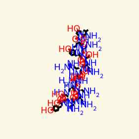 CC[C@H](C)[C@H](NC(=O)[C@@H]1C[C@@H](O)CN1C(=O)[C@@H](N)C(C)C)C(=O)N[C@@H](CCN)C(=O)N[C@@H](Cc1ccc(O)cc1)C(=O)N[C@H](C(=O)N[C@@H](CC(N)=O)C(=O)N[C@@H](CCCNC(=N)N)C(=O)N[C@@H](CCN)C(=O)N[C@H](C(=O)N[C@H](CCN)C(=O)N[C@@H](CCN)C(=O)N[C@@H](CCN)C(=O)N[C@@H](CCN)C(=O)N[C@@H](CCC(=O)O)C(=O)N[C@@H](Cc1ccc(O)cc1)C(=O)O)[C@@H](C)O)[C@@H](C)O